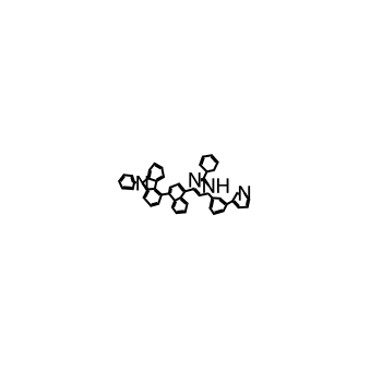 C1=CCC(C2=NC(c3ccc(-c4cccc5c4c4ccccc4n5-c4ccccc4)c4ccccc34)=CC(c3cccc(-c4cccnc4)c3)N2)C=C1